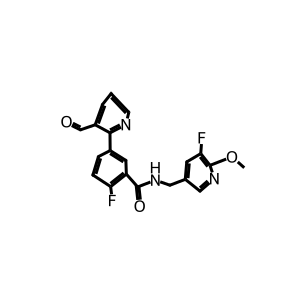 COc1ncc(CNC(=O)c2cc(-c3ncccc3C=O)ccc2F)cc1F